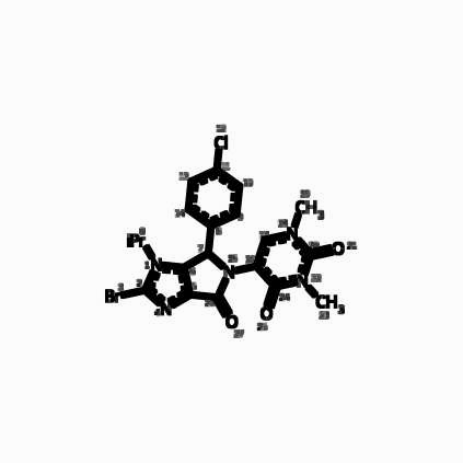 CC(C)n1c(Br)nc2c1C(c1ccc(Cl)cc1)N(c1cn(C)c(=O)n(C)c1=O)C2=O